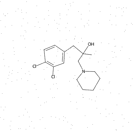 CC(O)(Cc1ccc(Cl)c(Cl)c1)CN1CCCCC1